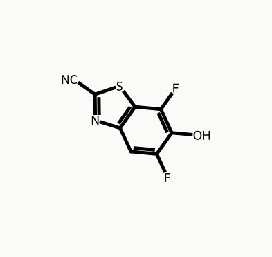 N#Cc1nc2cc(F)c(O)c(F)c2s1